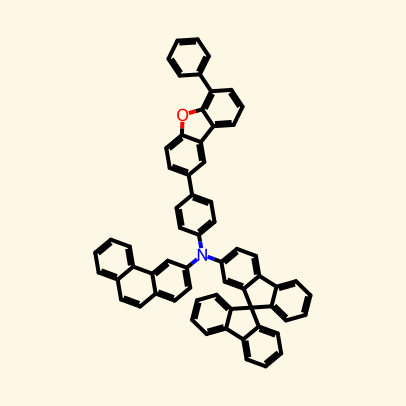 c1ccc(-c2cccc3c2oc2ccc(-c4ccc(N(c5ccc6c(c5)C5(c7ccccc7-c7ccccc75)c5ccccc5-6)c5ccc6ccc7ccccc7c6c5)cc4)cc23)cc1